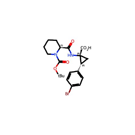 CC(C)(C)OC(=O)N1CCCC[C@H]1C(=O)N[C@]1(C(=O)O)C[C@@H]1c1ccc(Br)cc1